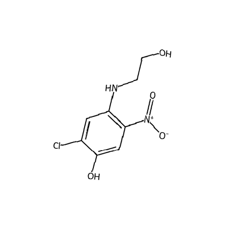 O=[N+]([O-])c1cc(O)c(Cl)cc1NCCO